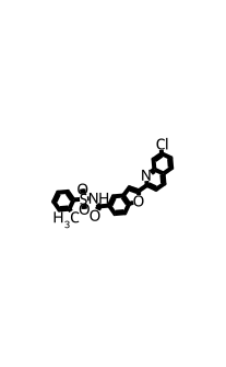 Cc1ccccc1S(=O)(=O)NC(=O)c1ccc2oc(-c3ccc4ccc(Cl)cc4n3)cc2c1